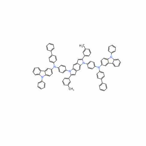 Cc1cccc(-c2cc3cc4c(cc(-c5cccc(C)c5)n4-c4ccc(N(c5ccc(-c6ccccc6)cc5)c5ccc6c(c5)c5ccccc5n6-c5ccccc5)cc4)cc3n2-c2ccc(N(c3ccc(-c4ccccc4)cc3)c3ccc4c(c3)c3ccccc3n4-c3ccccc3)cc2)c1